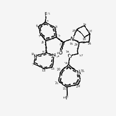 O=C(c1cc(F)ccc1-c1ncccn1)N1C(COc2ccc(F)cn2)CC2CC1C2